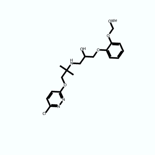 COCOc1ccccc1OCC(O)CNC(C)(C)COc1ccc(Cl)nn1